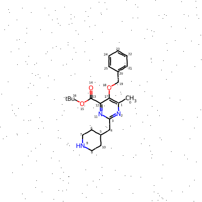 Cc1nc(CC2CCNCC2)nc(C(=O)OC(C)(C)C)c1OCc1ccccc1